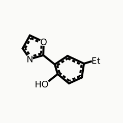 CCc1ccc(O)c(-c2ncco2)c1